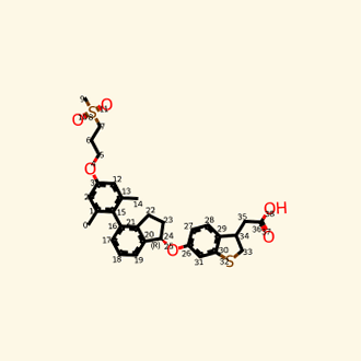 Cc1cc(OCCCS(C)(=O)=O)cc(C)c1-c1cccc2c1CC[C@H]2Oc1ccc2c(c1)SCC2CC(=O)O